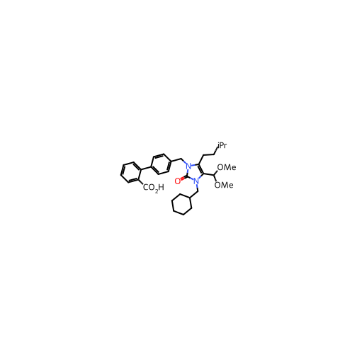 COC(OC)c1c(CCC(C)C)n(Cc2ccc(-c3ccccc3C(=O)O)cc2)c(=O)n1CC1CCCCC1